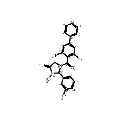 O=C1CN(C(=O)c2c(F)cc(-c3ccccc3)cc2F)C(c2cccc(Br)c2)N1O